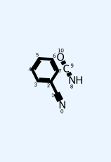 N#Cc1ccccc1.N=C=O